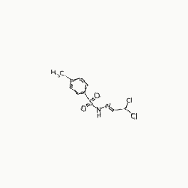 Cc1ccc(S(=O)(=O)NN=CC(Cl)Cl)cc1